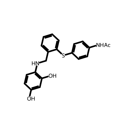 CC(=O)Nc1ccc(Sc2ccccc2CNc2ccc(O)cc2O)cc1